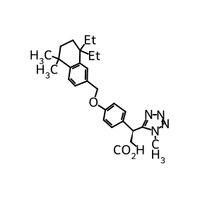 CCC1(CC)CCC(C)(C)c2ccc(COc3ccc([C@H](CC(=O)O)c4nnnn4C)cc3)cc21